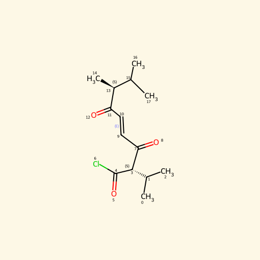 CC(C)[C@H](C(=O)Cl)C(=O)/C=C/C(=O)[C@@H](C)C(C)C